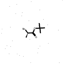 C[C@@H](Br)C(=O)OC(C)(C)C